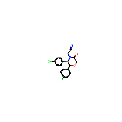 N#CCN1C(=O)COC(c2ccc(Cl)cc2)C1c1ccc(Cl)cc1